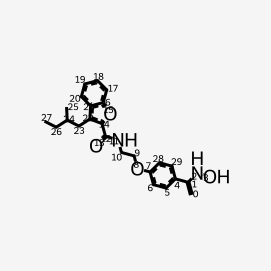 C=C(NO)c1ccc(OCCNC(=O)c2oc3ccccc3c2CC(C)CC)cc1